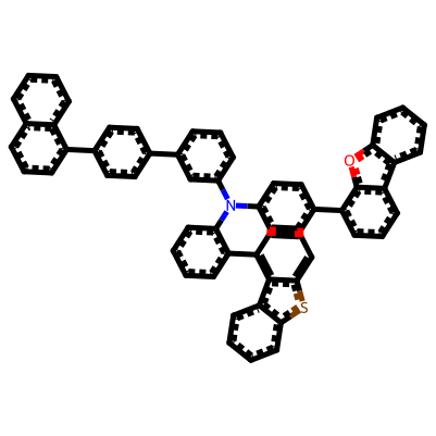 c1c(-c2cccc3c2oc2ccccc23)ccc(N(c2cccc(-c3ccc(-c4cccc5ccccc45)cc3)c2)c2ccccc2C2=c3c(sc4ccccc34)=CCC2)c#1